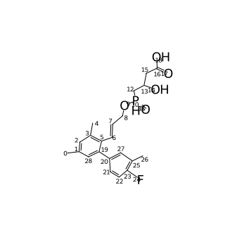 Cc1cc(C)c(/C=C/CO[PH](=O)CC(O)CC(=O)O)c(-c2ccc(F)c(C)c2)c1